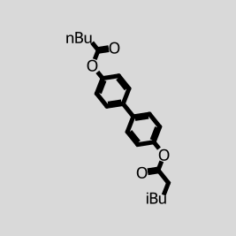 CCCCC(=O)Oc1ccc(-c2ccc(OC(=O)CC(C)CC)cc2)cc1